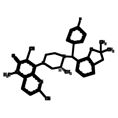 C[C@@H]1CN(c2c(C#N)c(=O)n(C)c3ccc(C#N)nc23)CCN1C(c1ccc(F)cc1)c1cccc2c1OC(C)(C)C2